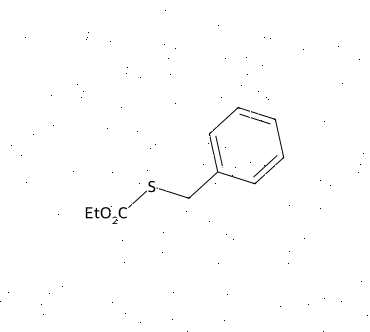 CCOC(=O)SCc1ccccc1